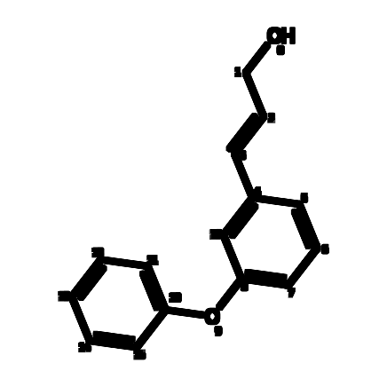 OC/C=C/c1cccc(Oc2ccccc2)c1